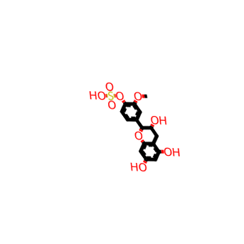 COc1cc(C2Oc3cc(O)cc(O)c3CC2O)ccc1OS(=O)(=O)O